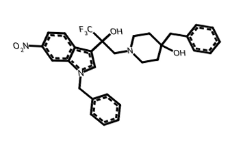 O=[N+]([O-])c1ccc2c(C(O)(CN3CCC(O)(Cc4ccccc4)CC3)C(F)(F)F)cn(Cc3ccccc3)c2c1